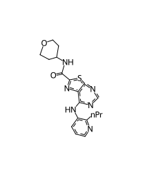 CCCc1ncccc1Nc1ncnc2sc(C(=O)NC3CCOCC3)nc12